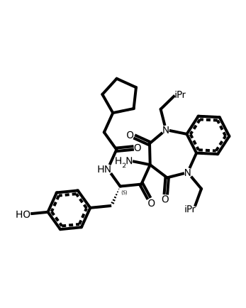 CC(C)CN1C(=O)C(N)(C(=O)[C@H](Cc2ccc(O)cc2)NC(=O)CC2CCCC2)C(=O)N(CC(C)C)c2ccccc21